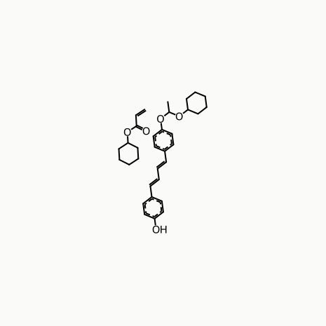 C=CC(=O)OC1CCCCC1.CC(Oc1ccc(C=CC=Cc2ccc(O)cc2)cc1)OC1CCCCC1